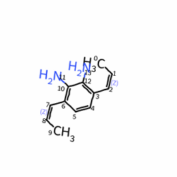 C/C=C\c1ccc(/C=C\C)c(N)c1N